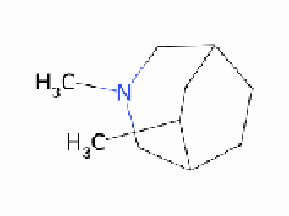 CC1CC2CCC1CN(C)C2